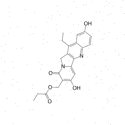 CCC(=O)OCc1c(O)cc2n(c1=O)Cc1c-2nc2ccc(O)cc2c1CC